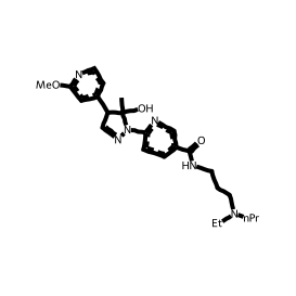 CCCN(CC)CCCNC(=O)c1ccc(N2N=CC(c3ccnc(OC)c3)C2(C)O)nc1